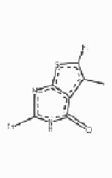 CCc1nc2sc(CC)c(C)c2c(=O)[nH]1